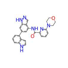 O=C(Nc1cc(-c2cccc3[nH]ccc23)cc2[nH]ncc12)c1cccc(N2CCOCC2)n1